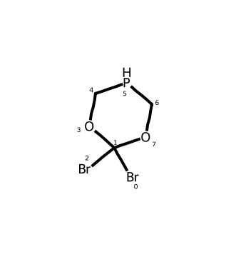 BrC1(Br)OCPCO1